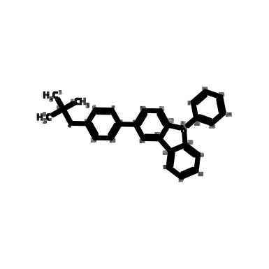 CC(C)(C)Cc1ccc(-c2ccc3c(c2)c2ccccc2n3-c2ccccc2)cc1